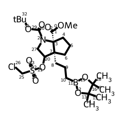 COC(=O)[C@]12CCC[C@@]1(CCCB1OC(C)(C)C(C)(C)O1)C(OS(=O)(=O)CCl)CN2C(=O)OC(C)(C)C